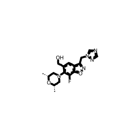 C[C@@H]1CN(c2c(CO)cc3c(Cn4cncn4)noc3c2F)C[C@H](C)O1